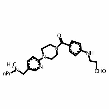 CCCN(C)Cc1ccc(N2CCN(C(=O)c3ccc(NCCC=O)cc3)CC2)nc1